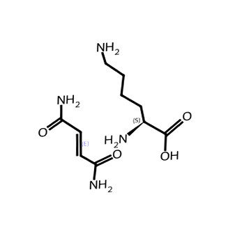 NC(=O)/C=C/C(N)=O.NCCCC[C@H](N)C(=O)O